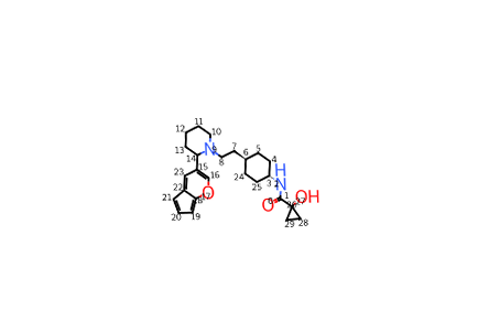 O=C(N[C@H]1CC[C@H](CCN2CCCCC2c2coc3cccc-3c2)CC1)C1(O)CC1